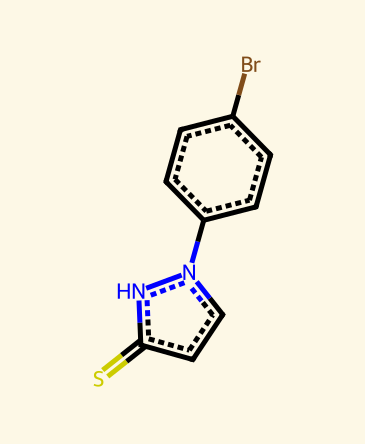 S=c1ccn(-c2ccc(Br)cc2)[nH]1